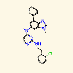 CN(c1cc(-c2ccccc2)c2ncn(C)c2c1)c1ccnc(NCCc2ccccc2Cl)n1